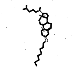 CCCCCCCCO[C@H]1CC[C@@]2(C)C(=CCC3C2CC[C@@]2(C)C3CC[C@@H]2C(C)CCCC(C)C)C1